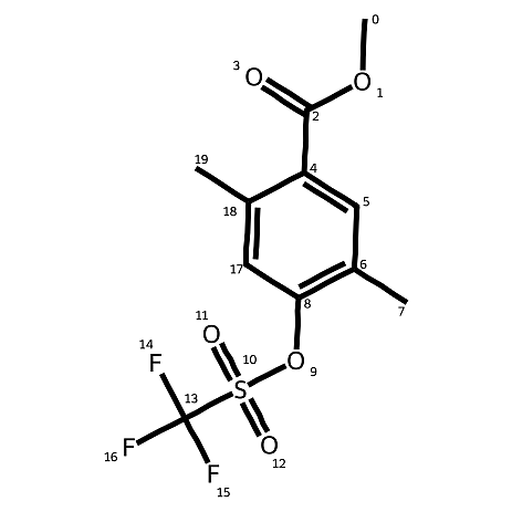 COC(=O)c1cc(C)c(OS(=O)(=O)C(F)(F)F)cc1C